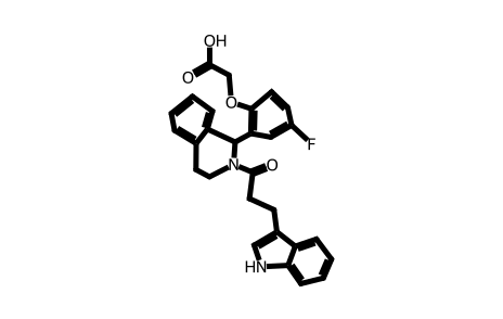 O=C(O)COc1ccc(F)cc1C1c2ccccc2CCN1C(=O)CCc1c[nH]c2ccccc12